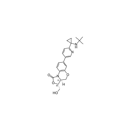 CC(C)(C)NC1(c2ccc(-c3ccc4c(c3)OC[C@H]3[C@H](CO)OC(=O)N43)cn2)CC1